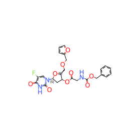 O=C(CNC(=O)OCc1ccccc1)OC1C[C@@H](n2cc(F)c(=O)[nH]c2=O)O[C@H]1COCc1ccco1